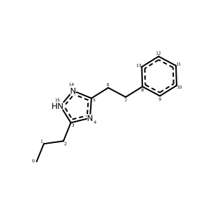 CCCc1nc(CCc2ccccc2)n[nH]1